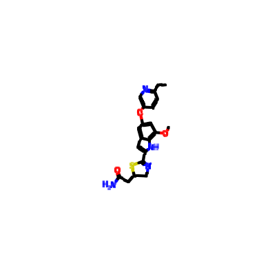 CCc1ccc(Oc2cc(OC)c3[nH]c(C4=NCC(CC(N)=O)S4)cc3c2)cn1